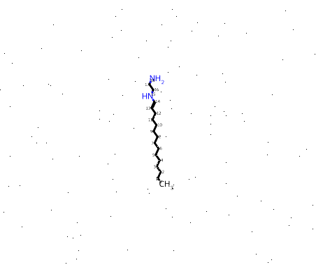 CCCCCCCCCCCCCC=CNCCN